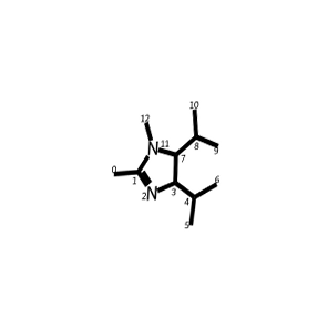 CC1=NC(C(C)C)C(C(C)C)N1C